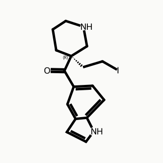 O=C(c1ccc2[nH]ccc2c1)[C@@]1(CCI)CCCNC1